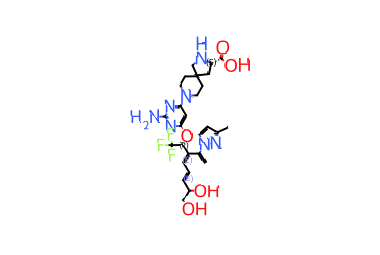 C=C(/C(=C\C=C\C(O)CO)[C@@H](Oc1cc(N2CCC3(CC2)CN[C@H](C(=O)O)C3)nc(N)n1)C(F)(F)F)n1ccc(C)n1